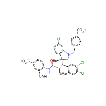 CN[C@@H](C(=O)Nc1ccc(C(=O)O)cc1OC)[C@H](c1ccc(Cl)c(Cl)c1)[C@@]1(C(C)(C)C)CN(Cc2ccc(C(=O)O)cc2)c2cc(Cl)ccc21